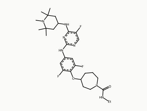 CCNC(=O)N1CCCC(Oc2c(F)cc(Nc3ncc(F)c(NC4CC(C)(C)N(C)C(C)(C)C4)n3)cc2F)CC1